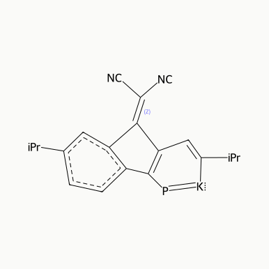 [C-]#[N+]/C(C#N)=C1\C2=C([P]=[K][C](C(C)C)=C2)c2ccc(C(C)C)cc21